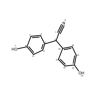 N#CC(c1ccc(O)cc1)c1ccc(O)cc1